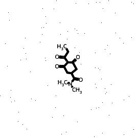 CCC(=O)C1C(=O)CC(C(=O)N(C)C)CC1=O